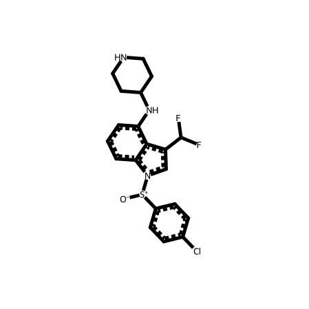 [O-][S+](c1ccc(Cl)cc1)n1cc(C(F)F)c2c(NC3CCNCC3)cccc21